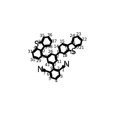 N#Cc1cccc(C#N)c1-c1cc(-c2ccc3c(c2)sc2ccccc23)cc(-c2cccc3sc4ccccc4c23)c1